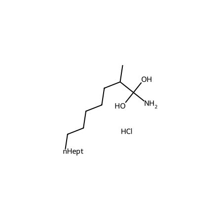 CCCCCCCCCCCCC(C)C(N)(O)O.Cl